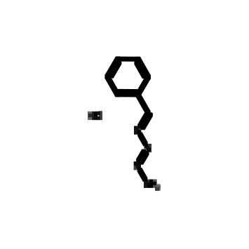 Cl.NN=NN=Cc1ccccc1